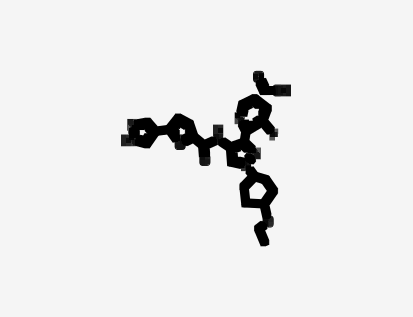 CCOC1CCC(n2cc(NC(=O)c3ccc(-c4cn[nH]c4)o3)c(-c3ncccc3F)n2)CC1.O=CO